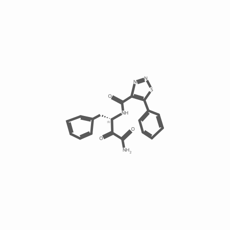 NC(=O)C(=O)[C@H](Cc1ccccc1)NC(=O)c1nnsc1-c1ccccc1